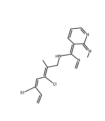 C=C/C(=C\C(Cl)=C(/C)CN/C(N=C)=C1\C=CC=N\C1=N\C)CC